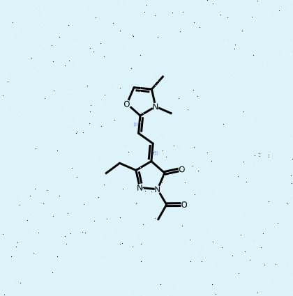 CCC1=NN(C(C)=O)C(=O)/C1=C/C=C1/OC=C(C)N1C